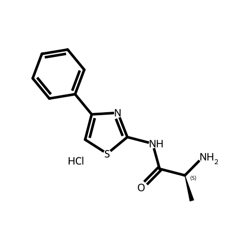 C[C@H](N)C(=O)Nc1nc(-c2ccccc2)cs1.Cl